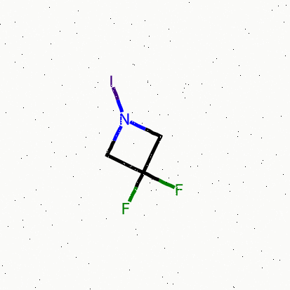 FC1(F)CN(I)C1